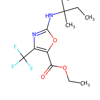 CCOC(=O)c1oc(NC(C)(C)CC)nc1C(F)(F)F